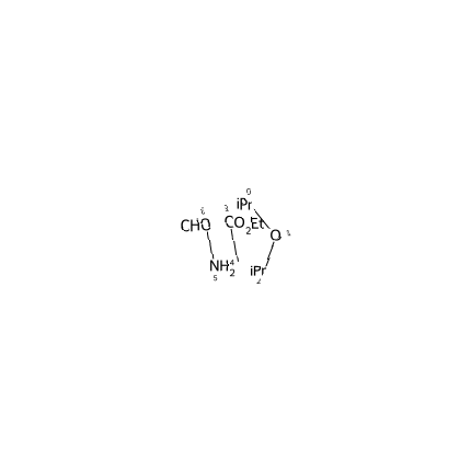 CC(C)OC(C)C.CCOC(C)=O.NC=O